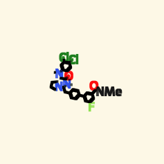 CNC(=O)c1cc(F)cc(-c2ccc(CC(N3CCCC3)N(C)C(=O)CN(C)c3ccc(Cl)c(Cl)c3)cc2)c1